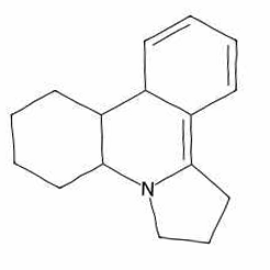 C1=CC2=C3CCCN3C3CCCCC3C2C=C1